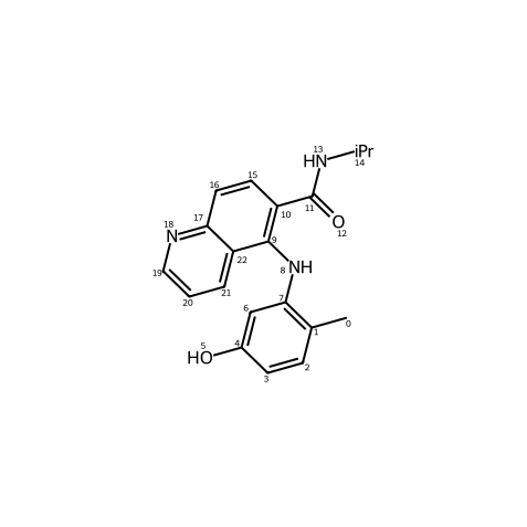 Cc1ccc(O)cc1Nc1c(C(=O)NC(C)C)ccc2ncccc12